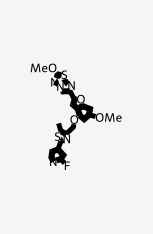 COc1cc(OCc2nc(-c3ccnc(F)c3)sc2C)c2cc(-c3cn4nc(OC)sc4n3)oc2c1